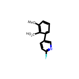 COc1cccc(-c2ccc(F)nc2)c1C(=O)O